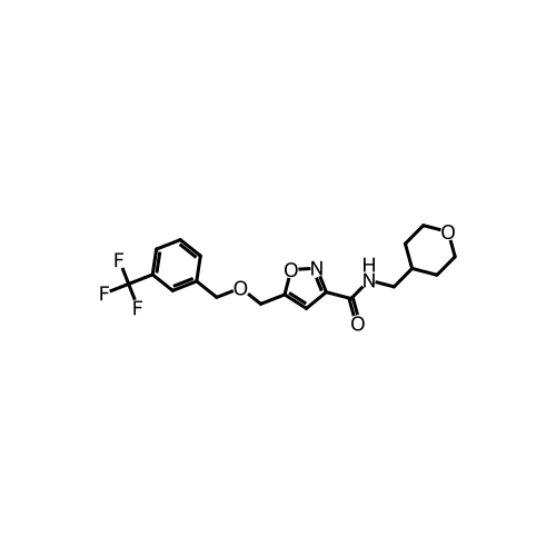 O=C(NCC1CCOCC1)c1cc(COCc2cccc(C(F)(F)F)c2)on1